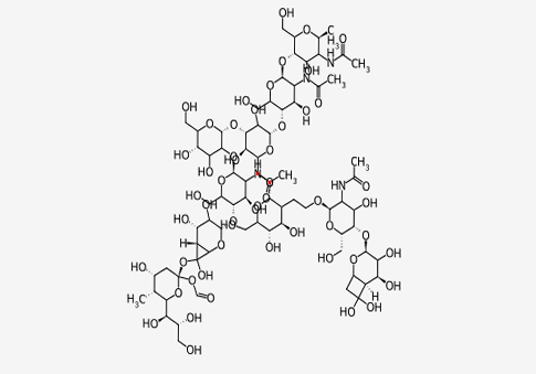 CC(=O)NC1C(O)[C@H](O[C@@H]2OC3CC(O)(O)[C@@H]3[C@H](O)C2O)[C@H](CO)O[C@H]1OCCC1[C@@H](OCC2O[C@@H](O[C@@H]3C(CO)O[C@@H](O[C@@H]4C(CO)O[C@@H](C)C(NC(C)=O)[C@H]4O)C(NC(C)=O)[C@H]3O)C(O)[C@@H](O[C@H]3OC(CO)[C@@H](O)C(O)C3O[C@@H]3OC(CO)[C@@H](O[C@@H]4OC5[C@@H]([C@H](O)C4O)C5(O)O[C@]4(OC=O)C[C@@H](O)[C@@H](C)C([C@H](O)[C@H](O)CO)O4)[C@H](O)C3NC(C)=O)[C@@H]2O)OC(CO)[C@@H](O)[C@@H]1O